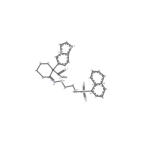 CNC(=S)C1(c2ccc3nccn3c2)CCCC/C1=N/OCCNS(=O)(=O)c1cccc2ccccc12